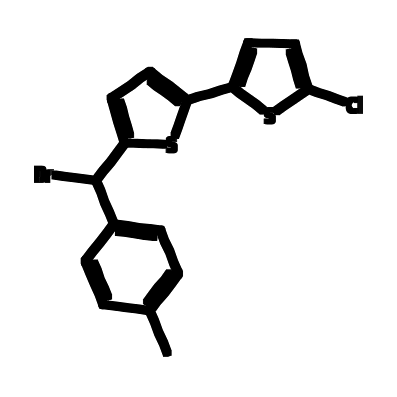 Cc1ccc(C(Br)c2ccc(-c3ccc(Cl)s3)s2)cc1